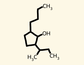 CCCCC1CCC(C(C)CC)C1O